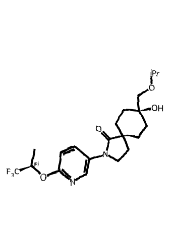 CC(C)OC[C@]1(O)CC[C@]2(CCN(c3ccc(O[C@H](C)C(F)(F)F)nc3)C2=O)CC1